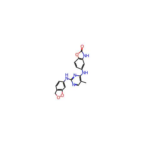 Cc1cnc(Nc2ccc3c(c2)OOC3)nc1Nc1ccc2oc(=O)[nH]c2c1